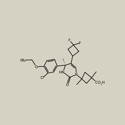 CC(C)(C)COc1ccc([C@]2(C)NC(=O)N(C3(C)CC(C)(C(=O)O)C3)C=C2C2CC(F)(F)C2)cc1Cl